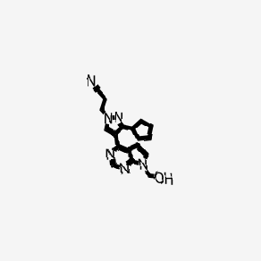 N#CCCn1cc(-c2ncnc3c2ccn3CO)c(C2CCCC2)n1